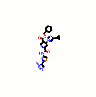 O=C(Nc1csc(-c2cnnn2I)n1)c1cc(-n2cnc(C3CC3)c2)c(C(=O)OCc2ccccc2)cn1